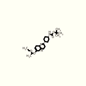 CCOC(C)OC1=CCC2N=C([C@H]3CC[C@@H](NC(=O)OC(C)(C)C)CC3)CC[C@@H]2C1